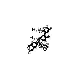 COc1cc(-c2cc(F)cnc2OC)c(F)cc1N(c1ccon1)S(=O)(=O)c1ccc2cnccc2c1